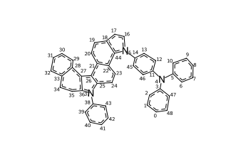 c1ccc(N(c2ccccc2)c2ccc(-n3ccc4ccc5c(ccc6c5c5c7ccccc7ccc5n6-c5ccccc5)c43)cc2)cc1